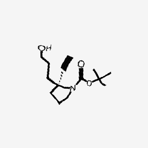 C#C[C@@]1(CCCO)CCCN1C(=O)OC(C)(C)C